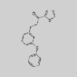 O=C(CCc1cccc(Oc2ccccc2)c1)c1cccs1